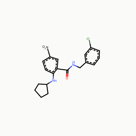 O=C(NCc1cccc(Cl)c1)c1cc([N+](=O)[O-])ccc1NC1CCCC1